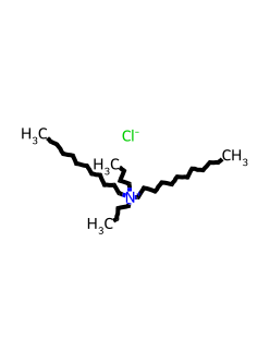 CCCCCCCCCCCC[N+](CCCC)(CCCC)CCCCCCCCCCCC.[Cl-]